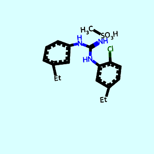 CCc1cccc(NC(=N)Nc2cc(CC)ccc2Cl)c1.CS(=O)(=O)O